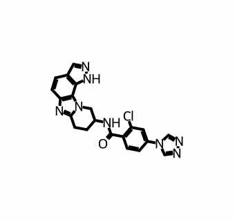 O=C(NC1CCc2nc3ccc4cn[nH]c4c3n2C1)c1ccc(-n2cnnc2)cc1Cl